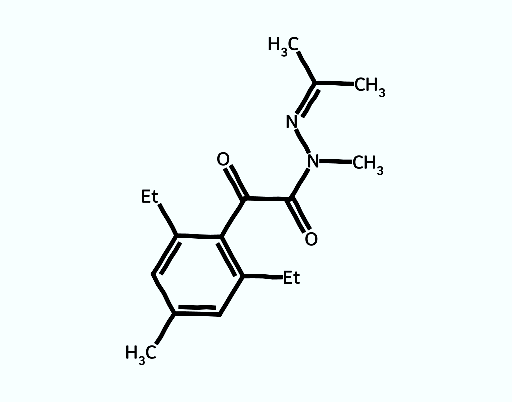 CCc1cc(C)cc(CC)c1C(=O)C(=O)N(C)N=C(C)C